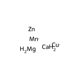 [CaH2].[Cu].[MgH2].[Mn].[Zn]